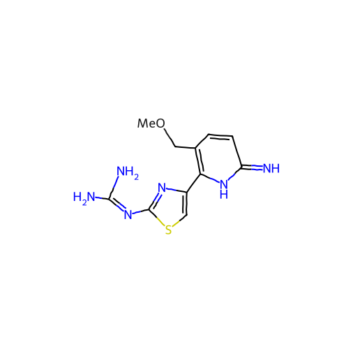 COCc1ccc(=N)[nH]c1-c1csc(N=C(N)N)n1